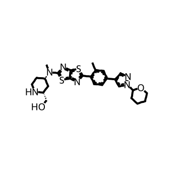 Cc1cc(-c2cnn(C3CCCCO3)c2)ccc1-c1nc2sc(N(C)[C@H]3CCN[C@@H](CO)C3)nc2s1